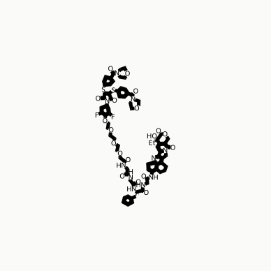 CC[C@@]1(O)C(=O)OCc2c1cc1n(c2=O)Cc2c-1nc1ccc(NC(=O)CNC(=O)[C@H](Cc3ccccc3)NC(=O)CNC(=O)CNC(=O)COCCOCCOCCOc3c(F)cc(N4C(=O)C(Sc5ccc(C(=O)N6CCOCC6)cc5)=C(Sc5ccc(C(=O)N6CCOCC6)cc5)C4=O)cc3F)c3c1c2CCC3